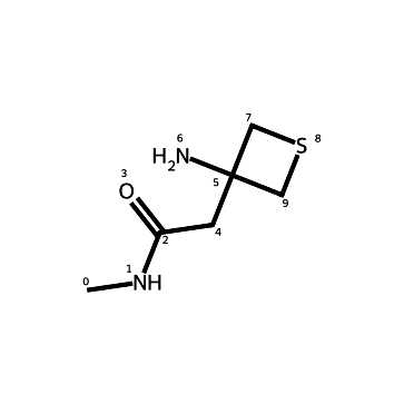 CNC(=O)CC1(N)CSC1